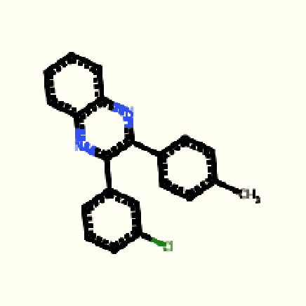 Cc1ccc(-c2nc3ccccc3nc2-c2cccc(Cl)c2)cc1